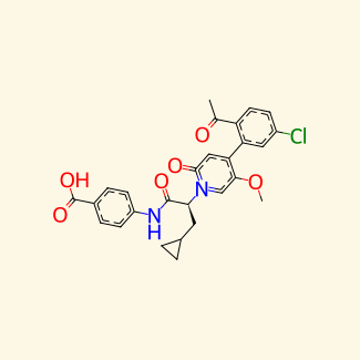 COc1cn([C@@H](CC2CC2)C(=O)Nc2ccc(C(=O)O)cc2)c(=O)cc1-c1cc(Cl)ccc1C(C)=O